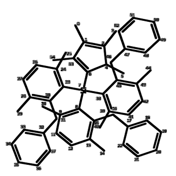 CC1=C(C)C(C)C([Si](c2c(C)ccc(C)c2Cc2ccccc2)(c2c(C)ccc(C)c2Cc2ccccc2)c2c(C)ccc(C)c2Cc2ccccc2)=C1C